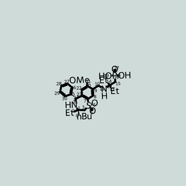 CCCC[C@]1(CC)CS(=O)(=O)c2cc(CNC(CC)(CC)CP(=O)(O)O)c(OC)cc2[C@@H](c2ccccc2)N1